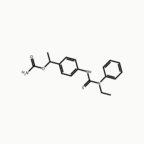 CCN(C(=S)Nc1ccc(C(C)OC(N)=O)cc1)c1ccccc1